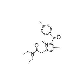 CCN(CC)C(=O)Cc1cc(C)c(C(=O)c2ccc(C)cc2)n1C